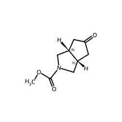 COC(=O)N1C[C@H]2CC(=O)C[C@H]2C1